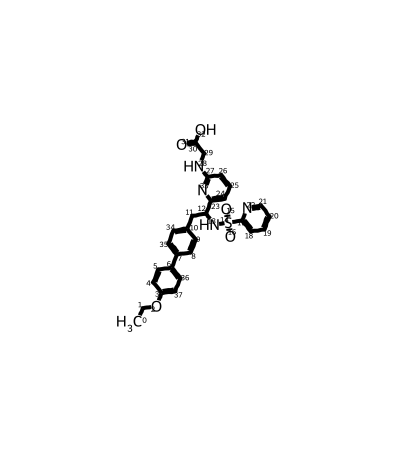 CCOc1ccc(-c2ccc(CC(NS(=O)(=O)c3ccccn3)c3cccc(NCC(=O)O)n3)cc2)cc1